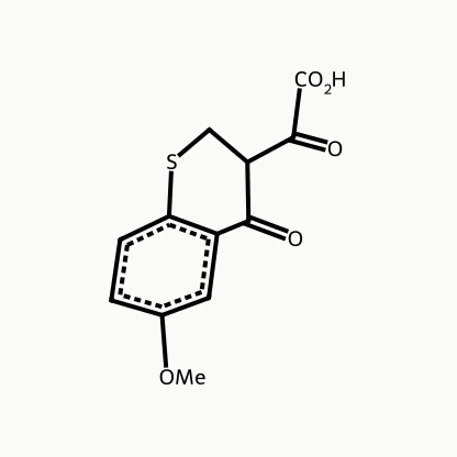 COc1ccc2c(c1)C(=O)C(C(=O)C(=O)O)CS2